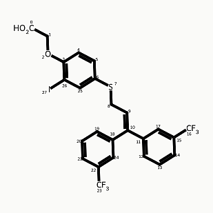 O=C(O)COc1ccc(SCC=C(c2cccc(C(F)(F)F)c2)c2cccc(C(F)(F)F)c2)cc1I